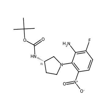 CC(C)(C)OC(=O)N[C@H]1CCN(c2c([N+](=O)[O-])ccc(F)c2N)C1